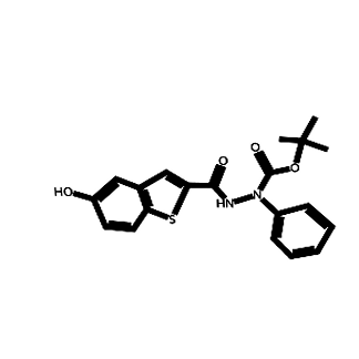 CC(C)(C)OC(=O)N(NC(=O)c1cc2cc(O)ccc2s1)c1ccccc1